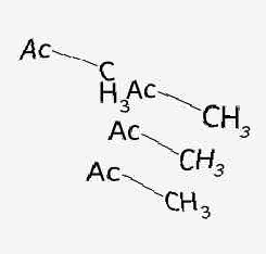 CC(C)=O.CC(C)=O.CC(C)=O.CC(C)=O